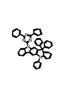 c1ccc(-c2nc(-c3ccccc3)nc(-n3c4ccccc4c4cc5c(cc43)C(c3ccccc3)(c3ccccc3)c3ccccc3N5c3ccccc3)n2)cc1